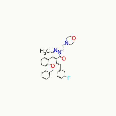 Cc1nn(CCN2CCOCC2)c(=O)c(/C=C/c2cccc(F)c2)c1-c1ccccc1OCc1ccccc1